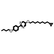 CCCCOc1ccc(-c2ncc(OCCCCCCCCC3CC3)cn2)cc1